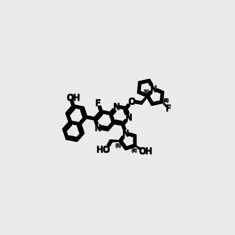 OC[C@@H]1C[C@@H](O)CN1c1nc(OC[C@@]23CCCN2C[C@H](F)C3)nc2c(F)c(-c3cc(O)cc4ccccc34)ncc12